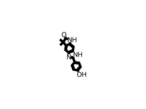 CC1(C)C(=O)Nc2cc3[nH]c(-c4ccc(O)cc4)nc3cc21